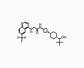 CC(C)(C)C(O)[C@H]1CC[C@@H](N2CC(NC(=O)CNc3ncnc4ccc(C(F)(F)F)cc34)C2)CC1